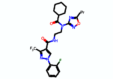 CC(C)c1nc(N(CCNC(=O)c2cn(-c3ccccc3F)nc2C(F)(F)F)C(=O)C2CCCCC2)no1